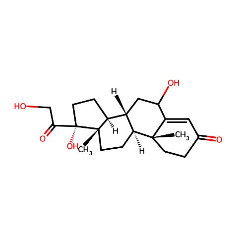 C[C@]12CCC(=O)C=C1C(O)C[C@@H]1[C@@H]2CC[C@@]2(C)[C@H]1CC[C@]2(O)C(=O)CO